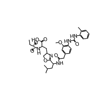 CCS(=O)(=O)NC(CC1COC(C(CC(C)C)NC(=O)Cc2ccc(NC(=O)Nc3ccccc3C)c(OC)c2)=N1)C(=O)O